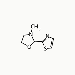 CN1CCOC1c1nccs1